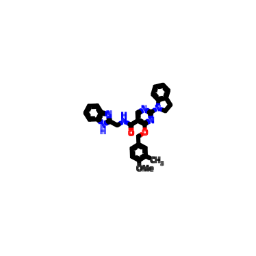 COc1ccc(COc2nc(N3CCc4ccccc43)ncc2C(=O)NCc2nc3ccccc3[nH]2)cc1C